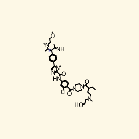 CCC(CCN(C)CCO)C(=O)N1CCN(C(=O)c2ccc(NC(=O)c3ncc(-c4ccc(/C(C(C)=N)=C(\C)N(C)CCOC)cc4)n3C)cc2Cl)CC1